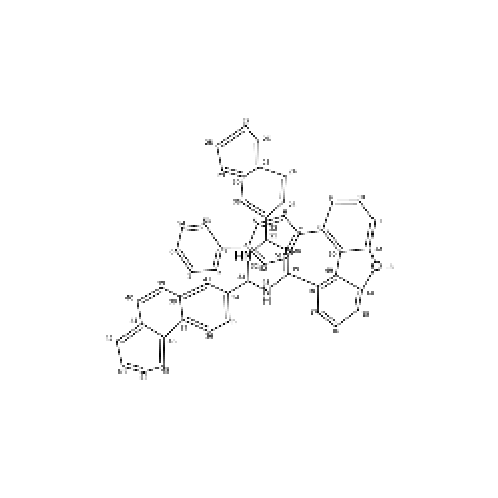 c1ccc(-c2ccc(-c3cccc4oc5cccc(C6=NC(c7ccc8ccccc8c7)NC(c7ccc8c(ccc9ccccc98)c7)N6)c5c34)cc2)cc1